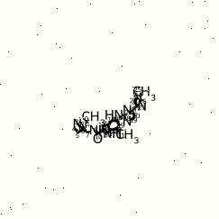 CCn1nccc1CNC(=O)c1cc2cc(Nc3nccc(-c4cn(C)cn4)n3)cc(C)c2[nH]1